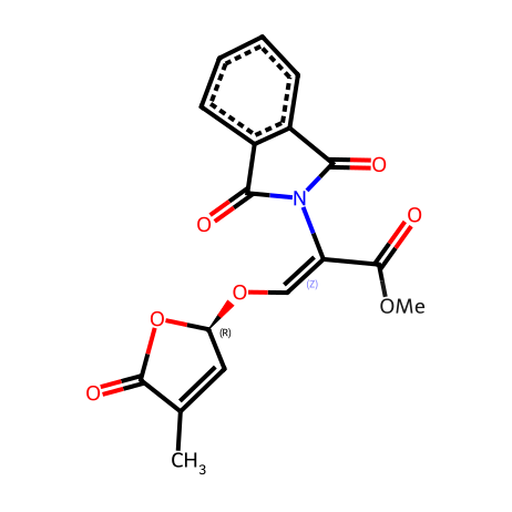 COC(=O)/C(=C/O[C@H]1C=C(C)C(=O)O1)N1C(=O)c2ccccc2C1=O